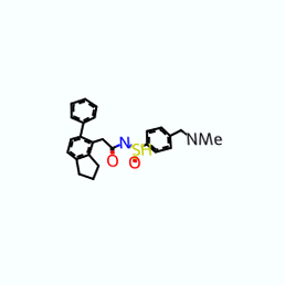 CNCc1ccc(/[SH](=O)=N/C(=O)Cc2c(-c3ccccc3)ccc3c2CCC3)cc1